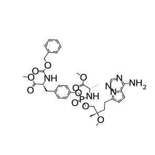 COC(=O)[C@H](C)NP(=O)(OC[C@](C)(CCc1ccc2c(N)ncnn12)OC)Oc1ccc(C[C@H](NC(=O)OCc2ccccc2)C(=O)OC)cc1